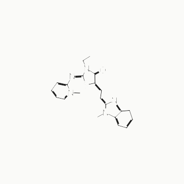 CCN1C(=O)/C(=C/C=c2\nc3c(n2C)=CC=CC3)S/C1=N\c1cccc[n+]1C